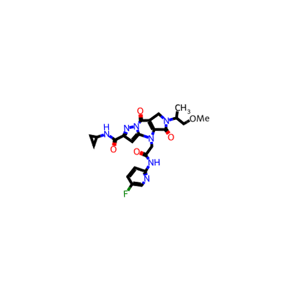 COCC(C)N1Cc2c(n(CC(=O)Nc3ccc(F)cn3)c3cc(C(=O)NC4CC4)nn3c2=O)C1=O